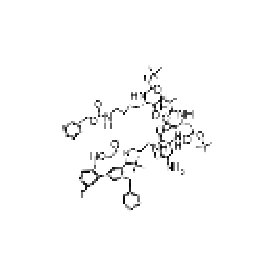 C[C@H](NC(=O)[C@H](CCCCNC(=O)OCc1ccccc1)NC(=O)OC(C)(C)C)C(=O)N[C@H](CC(=O)OC(C)(C)C)C(=O)N[C@@H](CC(N)=O)C(=O)NCCCN(C(=O)CO)[C@@H](c1cc(-c2cc(F)ccc2F)cn1Cc1ccccc1)C(C)(C)C